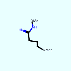 CCCCCCCCC(=N)NOC